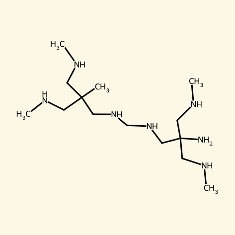 CNCC(C)(CNC)CNCNCC(N)(CNC)CNC